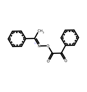 C/C(=N\OC(=O)C(=O)c1ccccc1)c1ccccc1